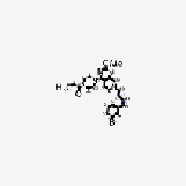 C=CC(=O)N1CCN(c2nc(OC)nc3c2CCN(/C=C/C=C\c2cccc(Br)c2)C3)CC1